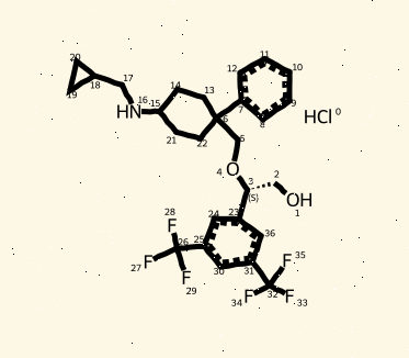 Cl.OC[C@@H](OCC1(c2ccccc2)CCC(NCC2CC2)CC1)c1cc(C(F)(F)F)cc(C(F)(F)F)c1